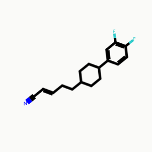 N#CC=CCCC1CCC(c2ccc(F)c(F)c2)CC1